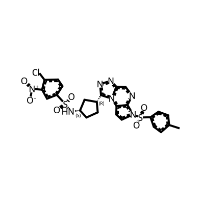 Cc1ccc(S(=O)(=O)n2ccc3c2ncc2nnc([C@@H]4CC[C@H](NS(=O)(=O)c5ccc(Cl)c([N+](=O)[O-])c5)C4)n23)cc1